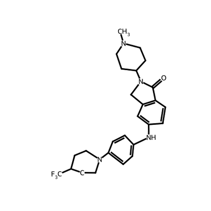 CN1CCC(N2Cc3cc(Nc4ccc(N5CCC(C(F)(F)F)CC5)cc4)ccc3C2=O)CC1